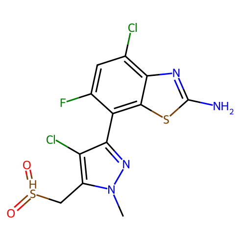 Cn1nc(-c2c(F)cc(Cl)c3nc(N)sc23)c(Cl)c1C[SH](=O)=O